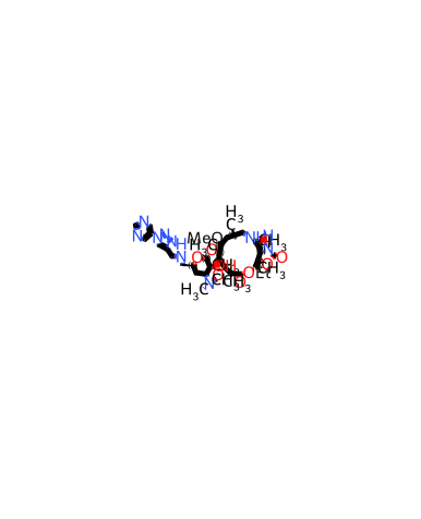 CC[C@@H]1OC(=O)C(C)C(=O)[C@H](C)[C@@H](O[C@@H]2O[C@H](CNCc3cn(-c4cncnc4)nn3)CC(N(C)C)C2O)[C@](C)(OC)C[C@@H](C)CN[C@H](C)[C@H]2NC(=O)O[C@]12C